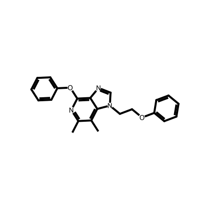 Cc1nc(Oc2ccccc2)c2ncn(CCOc3ccccc3)c2c1C